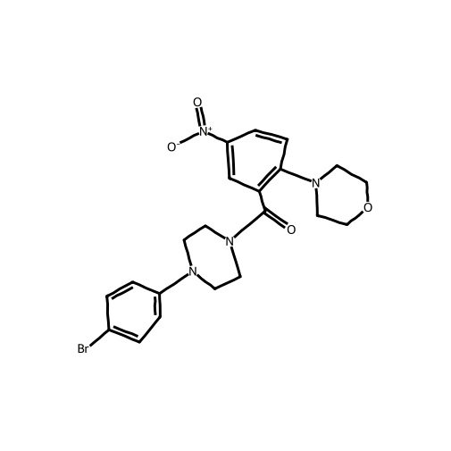 O=C(c1cc([N+](=O)[O-])ccc1N1CCOCC1)N1CCN(c2ccc(Br)cc2)CC1